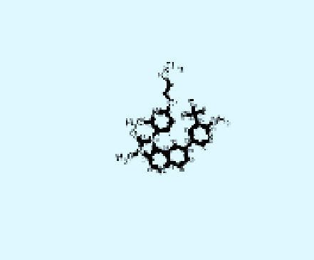 COCCOc1ccc(-n2c(=O)n(C)c3cnc4ccc(-c5cnc(N)c(C(F)(F)F)c5)cc4c32)c(C)n1